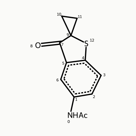 CC(=O)Nc1ccc2c(c1)C(=O)C1(CC1)S2